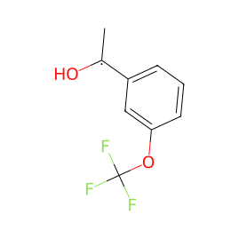 C[C](O)c1cccc(OC(F)(F)F)c1